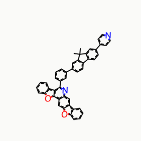 CC1(C)c2cc(-c3ccncc3)ccc2-c2ccc(-c3cccc(-c4nc5cc6c(cc5c5oc7ccccc7c45)oc4ccccc46)c3)cc21